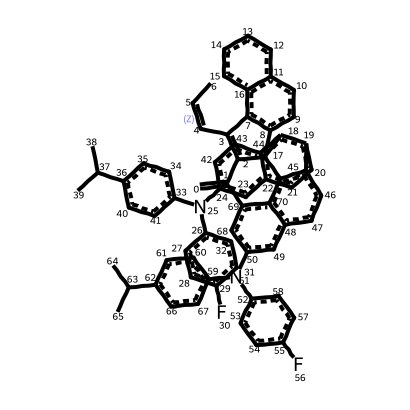 C=C1C2=C(/C=C\C)c3c(ccc4ccccc34)C23c2c(ccc4cc(N(c5ccc(F)cc5)c5ccc(C(C)C)cc5)ccc24)-c2ccc4cc(N(c5ccc(F)cc5)c5ccc(C(C)C)cc5)cc1c4c23